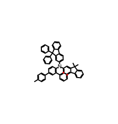 Cc1ccc(-c2ccc(N(c3ccc4c(c3)C(C)(C)c3ccccc3-4)c3ccc4c(c3)C(c3ccccc3)(c3ccccc3)c3ccccc3-4)c(-c3ccccc3)c2)cc1